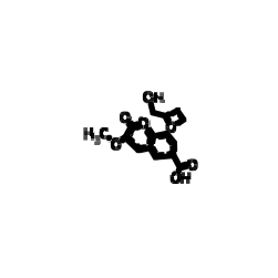 COc1cc2cc(C(=O)O)ccc2oc1=O.OCC1CCO1